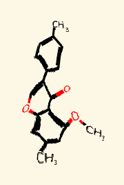 COc1cc(C)cc2occ(-c3ccc(C)cc3)c(=O)c12